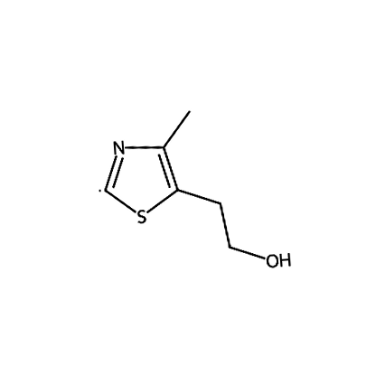 Cc1n[c]sc1CCO